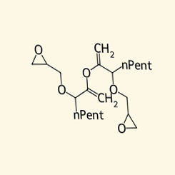 C=C(OC(=C)C(CCCCC)OCC1CO1)C(CCCCC)OCC1CO1